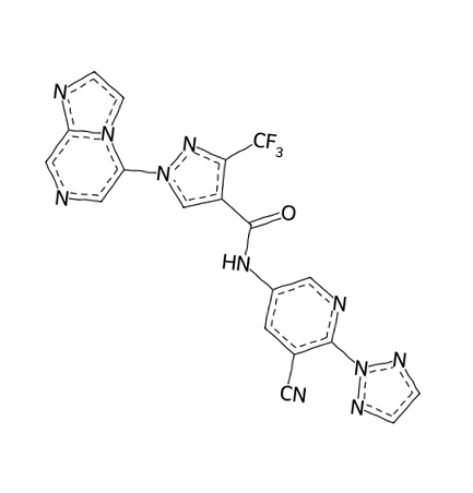 N#Cc1cc(NC(=O)c2cn(-c3cncc4nccn34)nc2C(F)(F)F)cnc1-n1nccn1